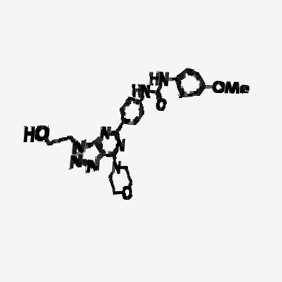 COc1ccc(NC(=O)Nc2ccc(-c3nc(N4CCOCC4)c4nnn(CCO)c4n3)cc2)cc1